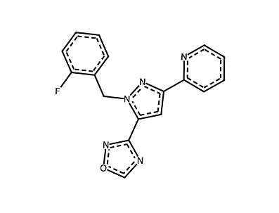 Fc1ccccc1Cn1nc(-c2ccccn2)cc1-c1ncon1